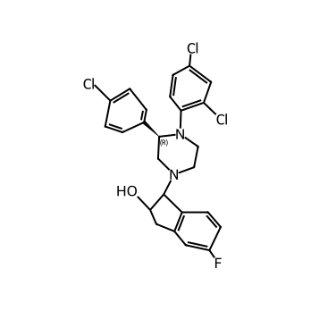 OC1Cc2cc(F)ccc2C1N1CCN(c2ccc(Cl)cc2Cl)[C@H](c2ccc(Cl)cc2)C1